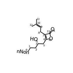 CCCCCCCCCCC[C@H](O)CC1=C(CC=C(C)C)C(=O)O1